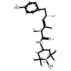 C/C(=C\[C@@H](C)Cc1ccc(O)cc1)[C@H](C)C(=O)NC1CC(C)(C)N(O)C(C)(C)C1